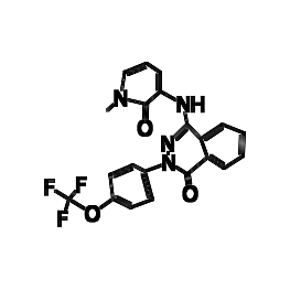 Cn1cccc(Nc2nn(-c3ccc(OC(F)(F)F)cc3)c(=O)c3ccccc23)c1=O